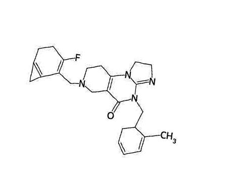 CC1=CC=CCC1CN1C(=O)C2=C(CCN(CC3=C(F)CCC4=C3C4)C2)N2CCN=C12